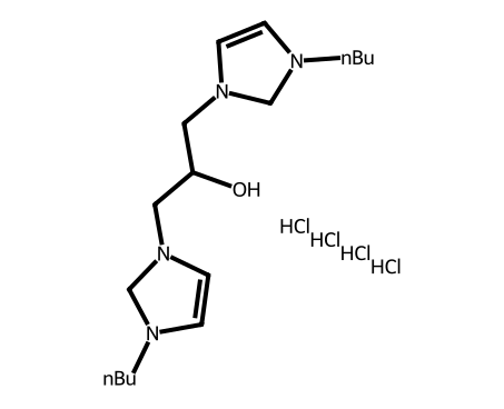 CCCCN1C=CN(CC(O)CN2C=CN(CCCC)C2)C1.Cl.Cl.Cl.Cl